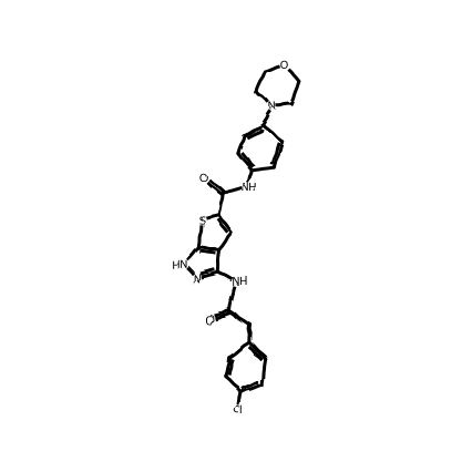 O=C(Cc1ccc(Cl)cc1)Nc1n[nH]c2sc(C(=O)Nc3ccc(N4CCOCC4)cc3)cc12